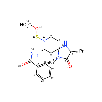 CCCCN1C(=O)C(C(C)C)NC12CCN(SOC(=O)O)CC2.NC(=O)c1ccccc1